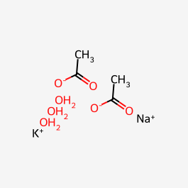 CC(=O)[O-].CC(=O)[O-].O.O.O.[K+].[Na+]